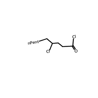 CCCCCCC(Cl)CCC(=O)Cl